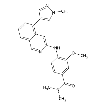 COc1cc(C(=O)N(C)C)ccc1Nc1cc2c(-c3cnn(C)c3)cccc2cn1